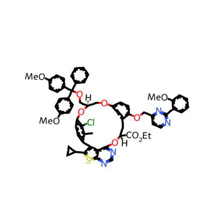 CCOC(=O)[C@H]1Cc2cc(ccc2OCc2ccnc(-c3ccccc3OC)n2)OC[C@H](COC(c2ccccc2)(c2ccc(OC)cc2)c2ccc(OC)cc2)Oc2ccc(c(C)c2Cl)-c2c(C3CC3)sc3ncnc(c23)O1